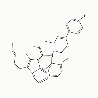 C/C=C/C=C\c1c(C)n(/C(=N\C)N(c2ccc(-c3ccc(F)cc3)cc2C)c2c(C(C)C)cccc2C(C)C)c2ccccc12